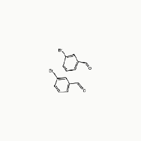 O=Cc1cccc(Br)c1.O=Cc1cccc(Br)c1